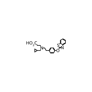 O=C(O)CCN(CCc1ccc(Oc2nc3ccccc3s2)cc1)CC1CC1